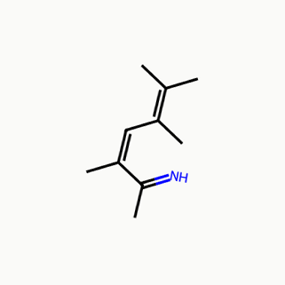 CC(=N)/C(C)=C\C(C)=C(C)C